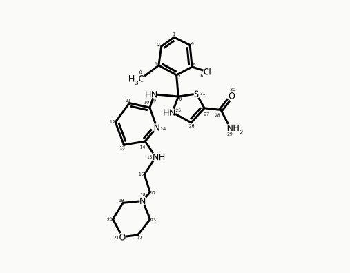 Cc1cccc(Cl)c1C1(Nc2cccc(NCCN3CCOCC3)n2)NC=C(C(N)=O)S1